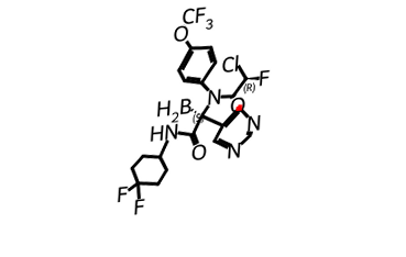 B[C@@](C(=O)NC1CCC(F)(F)CC1)(c1cncnc1)N(C(=O)[C@H](F)Cl)c1ccc(OC(F)(F)F)cc1